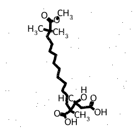 COC(=O)C(C)(C)CCCCCCCCCCCC(C)(C(=O)O)C(C)(O)CC(=O)O